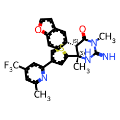 Cc1cc(C(F)(F)F)cc(-c2csc([C@@]3(C)NC(=N)N(C)C(=O)[C@H]3c3ccc4occc4c3)c2)n1